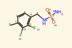 Cc1ccc(CNS(N)(=O)=O)c(F)c1F